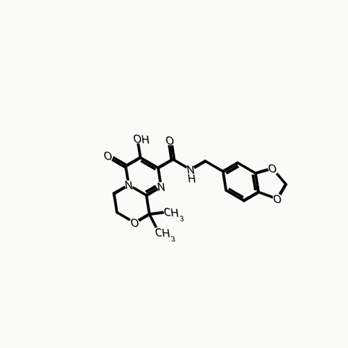 CC1(C)OCCn2c1nc(C(=O)NCc1ccc3c(c1)OCO3)c(O)c2=O